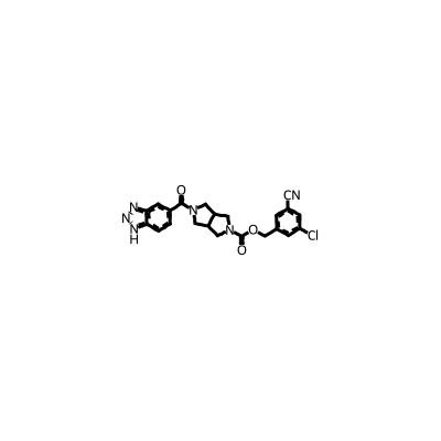 N#Cc1cc(Cl)cc(COC(=O)N2CC3CN(C(=O)c4ccc5[nH]nnc5c4)CC3C2)c1